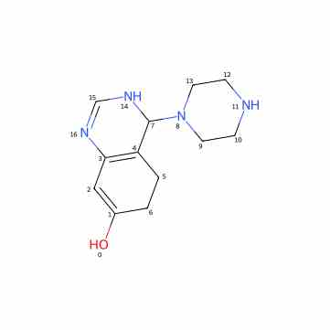 OC1=CC2=C(CC1)C(N1CCNCC1)NC=N2